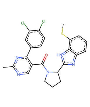 CSc1cccc2nc(C3CCCN3C(=O)c3cnc(C)nc3-c3ccc(Cl)c(Cl)c3)[nH]c12